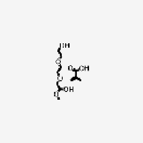 C=C(C)C(=O)O.COC(O)COCCOCCO